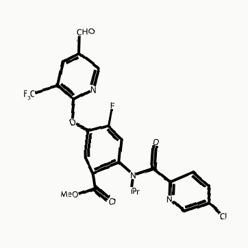 COC(=O)c1cc(Oc2ncc(C=O)cc2C(F)(F)F)c(F)cc1N(C(=O)c1ccc(Cl)cn1)C(C)C